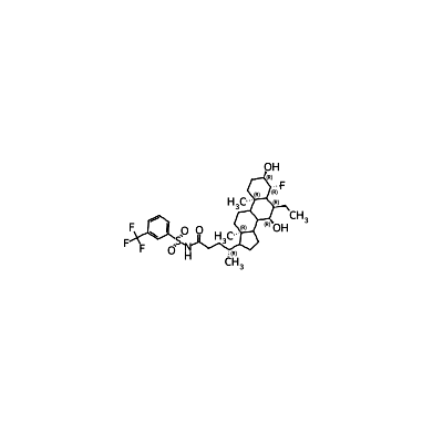 CC[C@@H]1C2[C@@H](F)[C@H](O)CC[C@]2(C)C2CC[C@@]3(C)C(CCC3[C@H](C)CCC(=O)NS(=O)(=O)c3cccc(C(F)(F)F)c3)C2[C@@H]1O